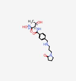 C[C@@H](O)[C@H](NC(=O)c1ccc(CNCCCN2CCCC2=O)cc1)C(=O)NO